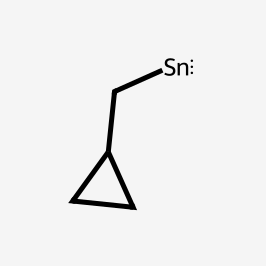 [Sn][CH2]C1CC1